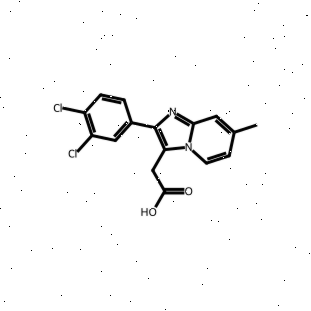 Cc1ccn2c(CC(=O)O)c(-c3ccc(Cl)c(Cl)c3)nc2c1